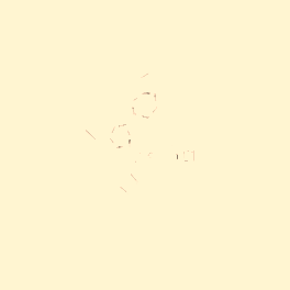 C=Cc1ccc2c(c1)-c1cc(C=C)c[c]([Zr+2]([C]3=CC(C(C)(C)C)=CC3CC)=[C]3CCCCC3)c1C2.[Cl-].[Cl-]